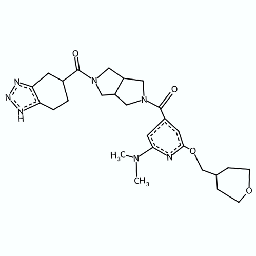 CN(C)c1cc(C(=O)N2CC3CN(C(=O)C4CCc5[nH]nnc5C4)CC3C2)cc(OCC2CCOCC2)n1